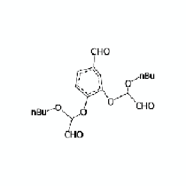 CCCCOC(C=O)Oc1ccc(C=O)cc1OC(C=O)OCCCC